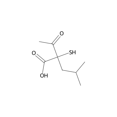 CC(=O)C(S)(CC(C)C)C(=O)O